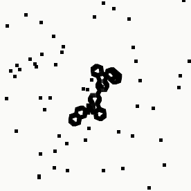 c1ccc2c(c1)-c1cc(-c3ccc4c(c3)c3ccccc3n4-c3ccc4ccccc4c3)ccc1C21C2CC3CC(C2)CC1C3